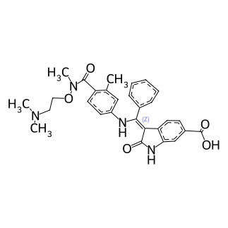 Cc1cc(N/C(=C2\C(=O)Nc3cc(C(=O)O)ccc32)c2ccccc2)ccc1C(=O)N(C)OCCN(C)C